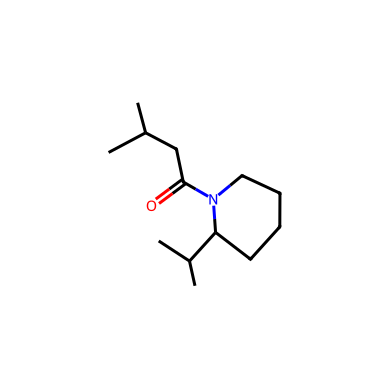 CC(C)CC(=O)N1CCCCC1C(C)C